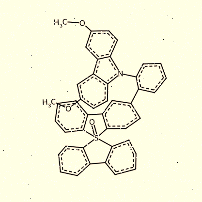 COc1ccc2c(c1)c1cc(OC)ccc1n2-c1ccccc1-c1ccc2c(c1)-c1ccccc1S21(=O)c2ccccc2-c2ccccc21